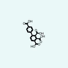 O=C(O)c1ccc(-c2ccc(C(=O)O)c(C(=O)O)c2C(=O)O)cc1